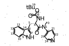 CN(C(=O)[C@H](Cc1c[nH]c2ccccc12)NC(=O)OC(C)(C)C)c1ccncc1